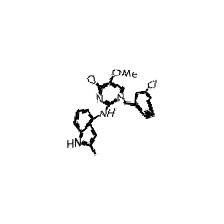 COc1cn(Cc2cccc(Cl)c2)c(Nc2cccc3[nH]c(C)cc23)nc1=O